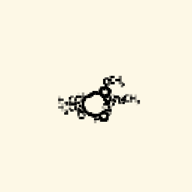 COCOc1cc(OC)cc2c1C(=O)O[C@H]1CCC[C@H]1/C=C\C(=O)[C@H]1OC(C)(C)O[C@H]1C/C=C/2